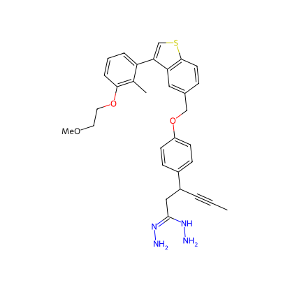 CC#CC(C/C(=N/N)NN)c1ccc(OCc2ccc3scc(-c4cccc(OCCOC)c4C)c3c2)cc1